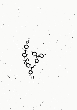 Cc1ccc(N(c2ccc(C)cc2)c2ccc(C=CC=C(c3ccc(O)cc3)c3ccc(OC(=O)Oc4ccc(C(C)(C)c5ccc(OC=O)cc5)cc4)cc3)cc2)cc1